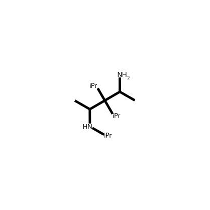 CC(C)NC(C)C(C(C)C)(C(C)C)C(C)N